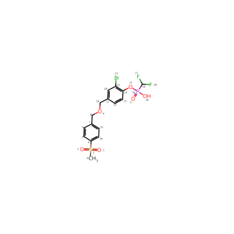 CS(=O)(=O)c1ccc(COCc2ccc(OP(=O)(O)C(F)F)c(Br)c2)cc1